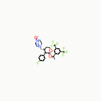 C[C@@H](O[C@H]1OCC[C@@H](CN2CC[NH+]([O-])CC2)[C@@H]1c1ccc(F)cc1)c1cc(C(F)(F)F)cc(C(F)(F)F)c1